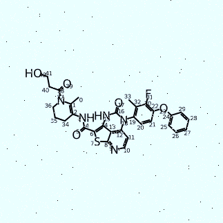 CC1=C(NC(=O)c2sc3nccc4c3c2NC(=O)N4c2ccc(Oc3ccccc3)c(F)c2C)CCCN1C(=O)CCO